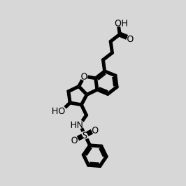 O=C(O)CCCc1cccc2c1OC1CC(O)C(CNS(=O)(=O)c3ccccc3)C21